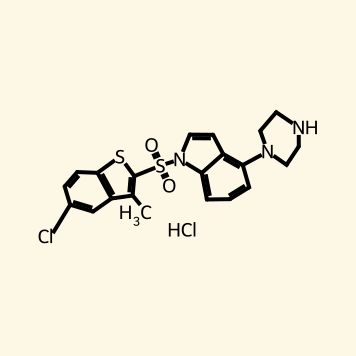 Cc1c(S(=O)(=O)n2ccc3c(N4CCNCC4)cccc32)sc2ccc(Cl)cc12.Cl